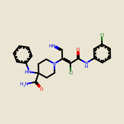 N=C/C(=C(/Cl)C(=O)Nc1cccc(Cl)c1)N1CCC(Nc2ccccc2)(C(N)=O)CC1